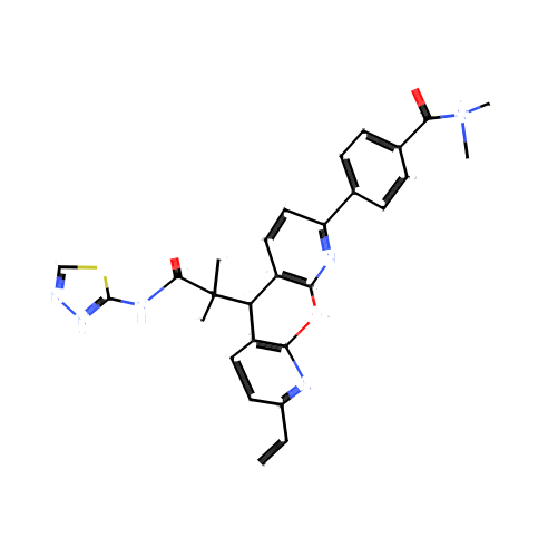 C=Cc1ccc2c(n1)Oc1nc(-c3ccc(C(=O)N(C)C)cc3)ccc1C2C(C)(C)C(=O)Nc1nncs1